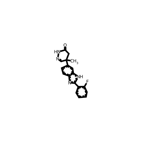 CC1(c2ccc3nc(-c4ccccc4F)[nH]c3c2)C=NNC(=O)C1